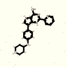 Oc1nc(-c2ccccn2)nc2c(-c3ccc(OC4CCOCC4)cc3)csc12